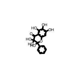 O=C1c2c(cc(O)c(O)c2O)OC(O)(c2ccccc2)C1(O)O